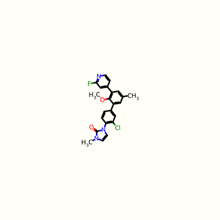 COc1c(-c2ccnc(F)c2)cc(C)cc1-c1ccc(-n2ccn(C)c2=O)c(Cl)c1